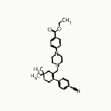 CCOC(=O)c1ccc(N2CCN(CC3=C(c4ccc(C#N)cc4)CCC(C)(C)C3)CC2)cc1